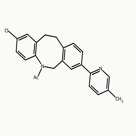 CC(=O)N1Cc2cc(-c3ccc(C)cn3)ccc2CCc2cc(Cl)ccc21